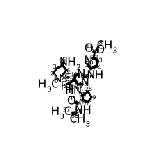 CN1CCC(N)CC1.COC(=O)c1ccc(Nc2ncc(C(F)(F)F)c(N[C@@H]3CCC[C@@H]3C(=O)NC(C)C)n2)cn1